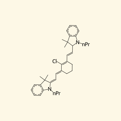 CCCN1/C(=C/C=C2\CCCC(/C=C/C3N(CCC)c4ccccc4C3(C)C)=C2Cl)C(C)(C)c2ccccc21